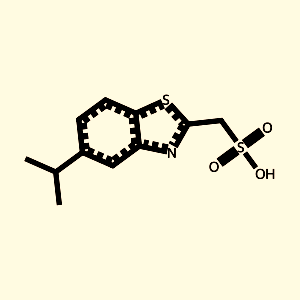 CC(C)c1ccc2sc(CS(=O)(=O)O)nc2c1